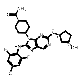 NC(=O)[C@H]1CC[C@@H](n2c(Nc3c(F)cc(Cl)cc3F)nc3cnc(N[C@H]4CC[C@H](O)C4)nc32)CC1